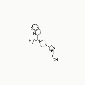 C[C@@H](c1ccc2cccnc2n1)N1CCN(c2cnn(CCO)c2)CC1